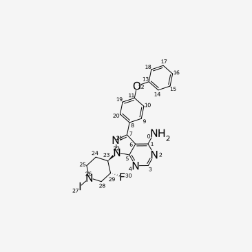 Nc1ncnc2c1c(-c1ccc(Oc3ccccc3)cc1)nn2[C@@H]1CCN(I)C[C@H]1F